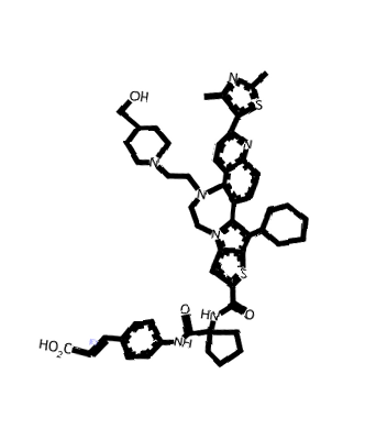 Cc1nc(C)c(-c2ccc3c4c(ccc3n2)-c2c(C3CCCCC3)c3sc(C(=O)NC5(C(=O)Nc6ccc(/C=C/C(=O)O)cc6)CCCC5)cc3n2CCN4CCN2CCC(CO)CC2)s1